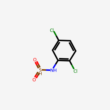 O=[SH](=O)Nc1cc(Cl)ccc1Cl